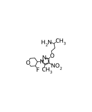 Cc1c([N+](=O)[O-])c(OCCC(C)N)nn1C1CCOCC1F